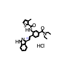 CCN(CC)C(=O)c1ccc(/C=C/c2n[nH]c3ccccc23)c(NC(=O)c2sccc2C)c1.Cl